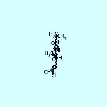 CN(C)CCCNC(=O)c1ccc2[nH]c(-c3cc(NC(=O)CCCc4ccc(N(CCCl)CCCl)cc4)cn3C)nc2c1.Cl